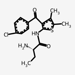 CC[C@H](N)C(=O)Nc1sc(C)c(C)c1C(=O)c1ccc(Cl)cc1